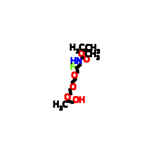 CC(CO)OCCOCCOCC(F)CNC(=O)OC(C)(C)C